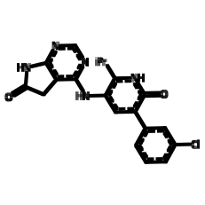 CC(C)c1[nH]c(=O)c(-c2cccc(Cl)c2)cc1Nc1ncnc2c1CC(=O)N2